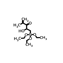 C=C(C)C(=O)C(O)C[Si](OCC)(OCC)OCC